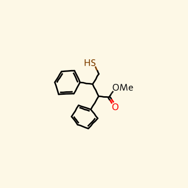 COC(=O)C(c1ccccc1)C(CS)c1ccccc1